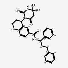 CCC1(CC)CC(=O)N([C@@H]2CCOc3ccc(C(=O)NC(CCc4ccccc4)c4ccccc4)cc32)C(=N)N1